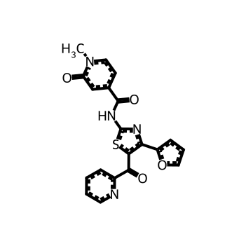 Cn1ccc(C(=O)Nc2nc(-c3ccco3)c(C(=O)c3ccccn3)s2)cc1=O